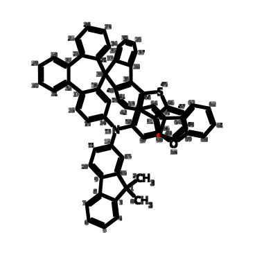 CC1(C)c2ccccc2-c2ccc(N(c3ccc4c(c3)C3(c5ccccc5-c5ccccc5-4)c4ccccc4-c4c3ccc3c4sc4ccccc43)c3ccc4c(c3)oc3ccccc34)cc21